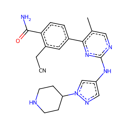 Cc1cnc(Nc2cnn(C3CCNCC3)c2)nc1-c1ccc(C(N)=O)c(CC#N)c1